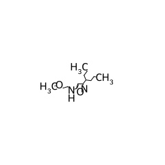 CCCC(CCC)c1cc(NCCOC)on1